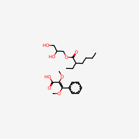 CCCCC(CC)C(=O)OCC(O)CO.COC(C(=O)O)=C(OC)c1ccccc1